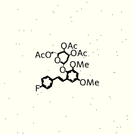 COc1cc(/C=C/c2ccc(F)cc2)c(O[C@H]2C[C@@H](OC(C)=O)[C@H](OC(C)=O)[C@@H](COC(C)=O)O2)c(OC)c1